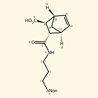 CCCCCCCCCCCCNC(=O)[C@@H]1[C@@H](C(=O)O)[C@@H]2C=C[C@@H]1C2